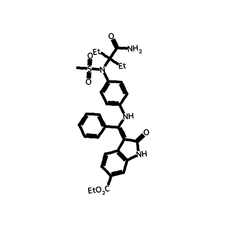 CCOC(=O)c1ccc2c(c1)NC(=O)/C2=C(\Nc1ccc(N(C(CC)(CC)C(N)=O)S(C)(=O)=O)cc1)c1ccccc1